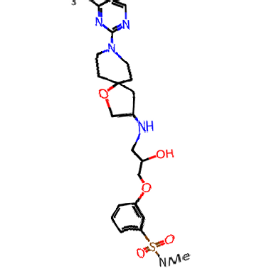 CNS(=O)(=O)c1cccc(OCC(O)CNC2COC3(CCN(c4nccc(C(F)(F)F)n4)CC3)C2)c1